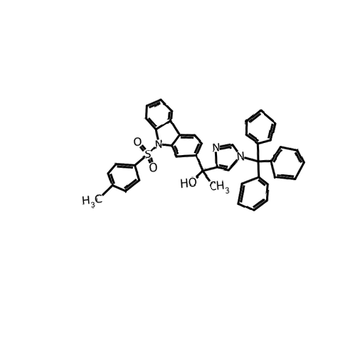 Cc1ccc(S(=O)(=O)n2c3ccccc3c3ccc(C(C)(O)c4cn(C(c5ccccc5)(c5ccccc5)c5ccccc5)cn4)cc32)cc1